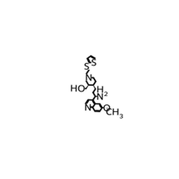 COc1ccc2nccc([C@H](N)CC[C@@H]3CCN(CCSc4cccs4)C[C@@H]3CO)c2c1